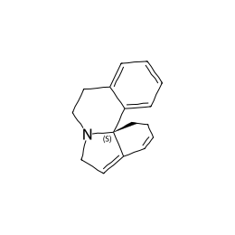 C1=CC2=CCN3CCc4ccccc4[C@]23CC1